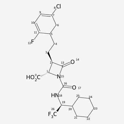 O=C(O)[C@@H]1[C@@H](CCC2CC(Cl)=CC=C2F)C(=O)N1C(=O)N[C@@H](C1CCCCC1)C(F)(F)F